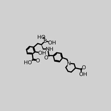 O=C(NC[C@@H](Cc1cccc(C(=O)O)c1O)B(O)O)c1ccc(CN2CCCC(C(=O)O)C2)cc1